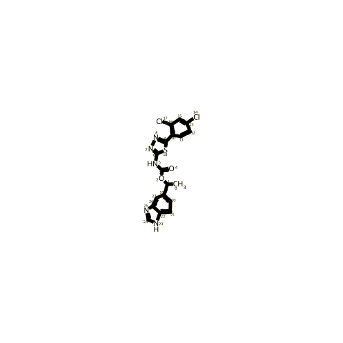 CC(OC(=O)Nc1nnc(-c2ccc(Cl)cc2Cl)s1)c1ccc2[nH]cnc2c1